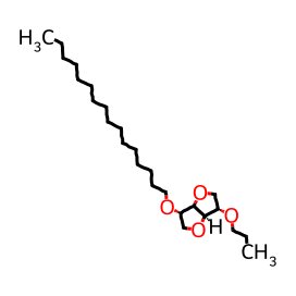 CCCCCCCCCCCCCCCCO[C@@H]1CO[C@H]2C1OC[C@H]2OCCC